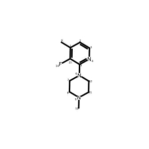 Cc1ccnc(N2CCN(C)CC2)c1F